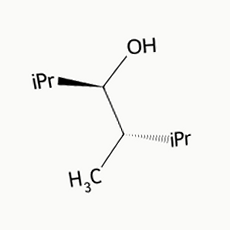 CC(C)[C@@H](O)[C@@H](C)C(C)C